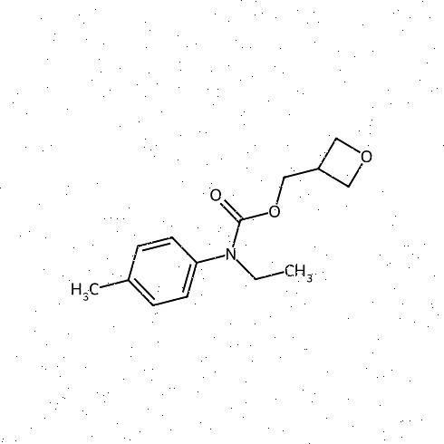 CCN(C(=O)OCC1COC1)c1ccc(C)cc1